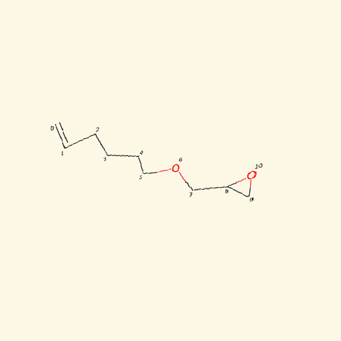 C=CCCCCOCC1CO1